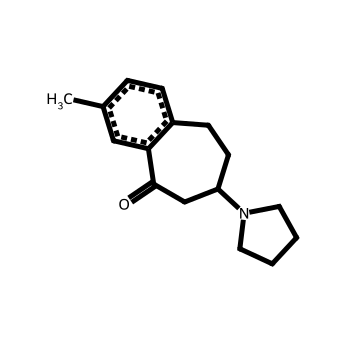 Cc1ccc2c(c1)C(=O)CC(N1CCCC1)CC2